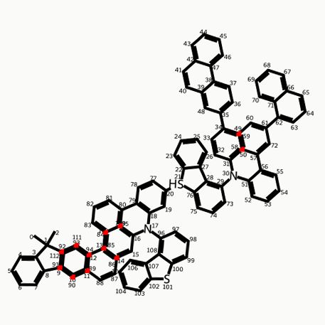 CC1(C)c2ccccc2-c2ccc(-c3ccc(N(c4cc([SH]5c6ccccc6-c6c(N(c7ccc(-c8ccc9c(ccc%10ccccc%109)c8)cc7)c7ccccc7-c7cccc(-c8cccc9ccccc89)c7)cccc65)ccc4-c4cccc(-c5cccc6ccccc56)c4)c4cccc5sc6ccccc6c45)cc3)cc21